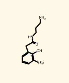 CC(C)(C)c1cccc(CC(=O)NCCCN)c1O